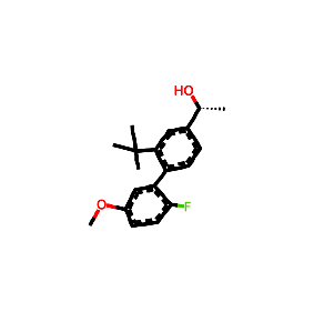 COc1ccc(F)c(-c2ccc([C@@H](C)O)cc2C(C)(C)C)c1